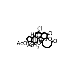 CC(=O)O[C@]1(C(C)=O)CC[C@H]2[C@@H]3C=C(Cl)C4=CC(=O)[C@]56C[C@]5(C(=O)CCCCC(=O)O6)[C@]4(C)[C@H]3CC[C@@]21C